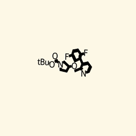 CC(C)(C)OC(=O)N1CCC(OCc2ncccc2-c2cc(F)ccc2F)C1